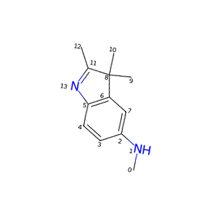 CNc1ccc2c(c1)C(C)(C)C(C)=N2